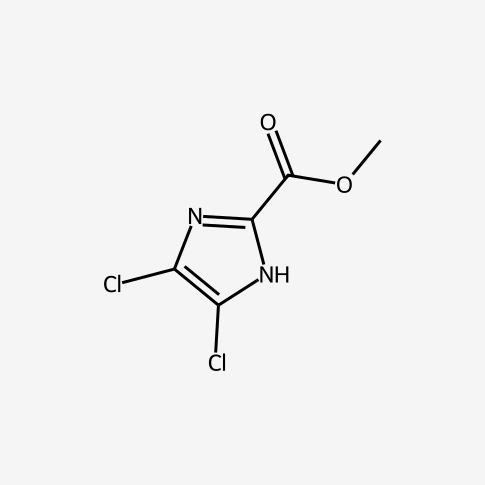 COC(=O)c1nc(Cl)c(Cl)[nH]1